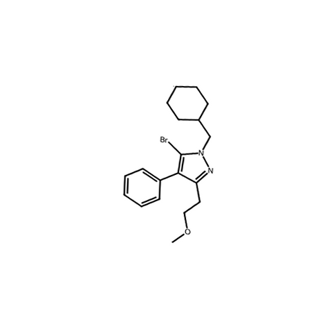 COCCc1nn(CC2CC[CH]CC2)c(Br)c1-c1ccccc1